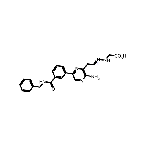 Nc1ncc(-c2cccc(C(=O)NCc3ccccc3)c2)nc1C/C=N/NCC(=O)O